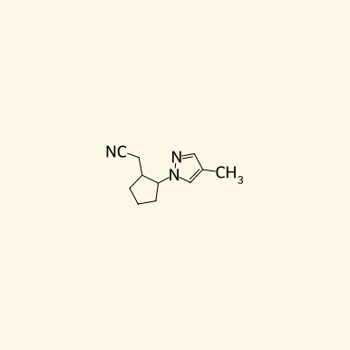 Cc1cnn(C2CCCC2CC#N)c1